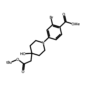 COC(=O)c1ccc(N2CCC(O)(CC(=O)OC(C)(C)C)CC2)cc1Br